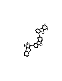 c1ccc2c(c1)Cc1c(-c3ccc4oc5ccc(-c6cccc7c6oc6ncncc67)cc5c4c3)ncnc1-2